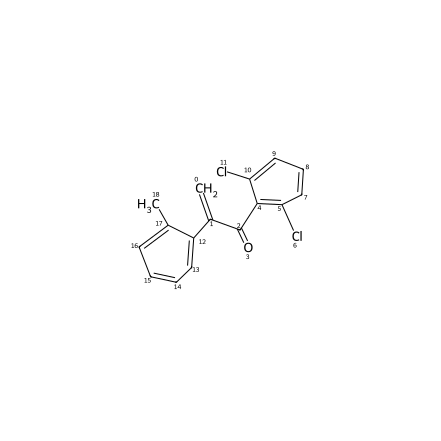 C=C(C(=O)c1c(Cl)cccc1Cl)c1ccccc1C